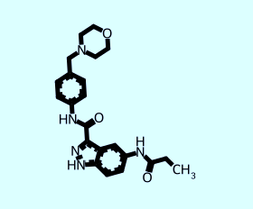 CCC(=O)Nc1ccc2[nH]nc(C(=O)Nc3ccc(CN4CCOCC4)cc3)c2c1